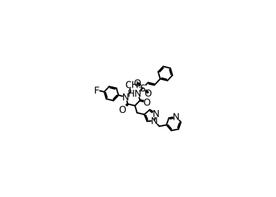 CCN(C(=O)C(Cc1cnn(Cc2cccnc2)c1)C(=O)NS(=O)(=O)/C=C/c1ccccc1)c1ccc(F)cc1